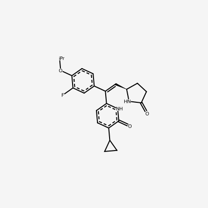 CC(C)Oc1ccc(/C(=C/[C@H]2CCC(=O)N2)c2ccc(C3CC3)c(=O)[nH]2)cc1F